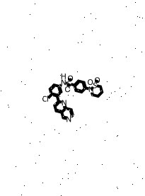 O=S(=O)(Nc1ccc(Cl)c(-c2ccc3cnccc3n2)c1)c1ccc(N2CCCCS2(=O)=O)cc1